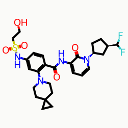 O=C(Nc1cccn([C@H]2CC[C@@H](C(F)F)C2)c1=O)c1ccc(NS(=O)(=O)CCO)cc1N1CCC2(CC1)CC2